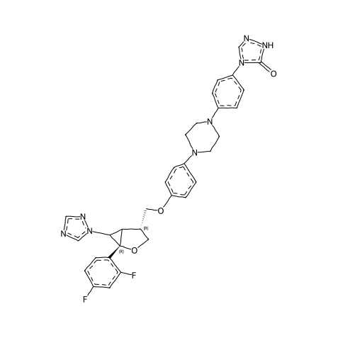 O=c1[nH]ncn1-c1ccc(N2CCN(c3ccc(OC[C@@H]4CO[C@@]5(c6ccc(F)cc6F)C4C5n4cncn4)cc3)CC2)cc1